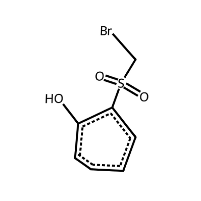 O=S(=O)(CBr)c1ccccc1O